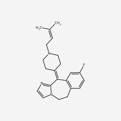 CC(C)=CCN1CCC(=C2c3cc(F)ccc3CCn3ccnc32)CC1